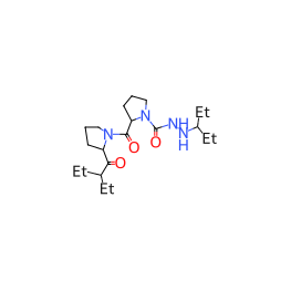 CCC(CC)NNC(=O)N1CCCC1C(=O)N1CCCC1C(=O)C(CC)CC